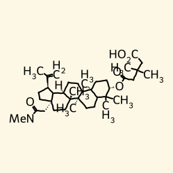 C=C(C)[C@@H]1CC[C@]2(CC(=O)NC)CC[C@]3(C)[C@H](CCC4[C@@]5(C)CC[C@H](OC(=O)CC(C)(C)CC(=O)O)C(C)(C)C5CC[C@]43C)C12